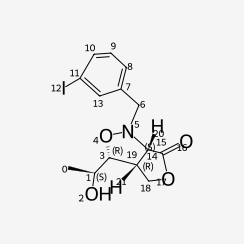 C[C@H](O)[C@@H]1ON(Cc2cccc(I)c2)[C@@H]2C(=O)OC[C@H]12